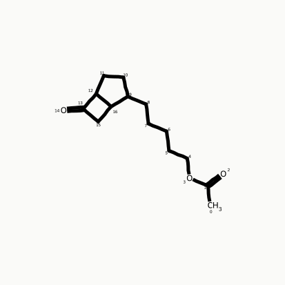 CC(=O)OCCCCCC1CCC2C(=O)CC12